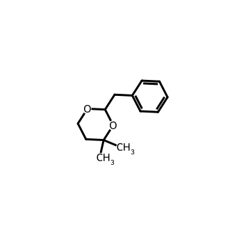 CC1(C)CCOC(Cc2ccccc2)O1